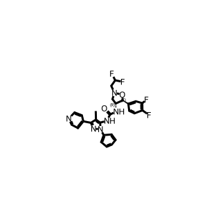 Cc1c(-c2ccncc2)nn(-c2ccccc2)c1NC(=O)N[C@@H]1CN(CC(F)F)O[C@H]1c1ccc(F)c(F)c1